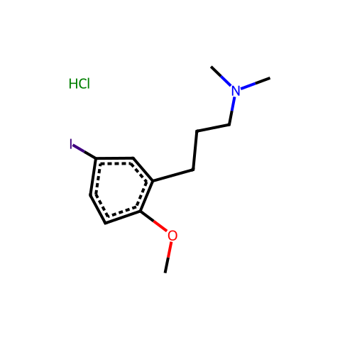 COc1ccc(I)cc1CCCN(C)C.Cl